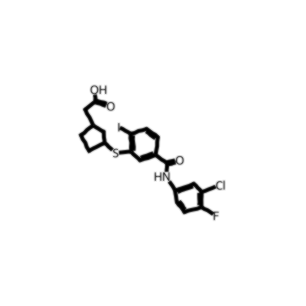 O=C(O)CC1CCC(Sc2cc(C(=O)Nc3ccc(F)c(Cl)c3)ccc2I)C1